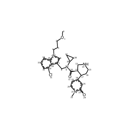 COCCCn1cc(CN(C(=O)[C@H]2CNCCC2c2ccn(C)c(=O)c2)C2CC2)c2c(Cl)cccc21